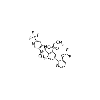 CCS(=O)(=O)c1cc(-c2ncccc2OC(F)F)cnc1-c1nc2cc(C(F)(F)F)ncc2n1C